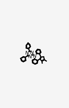 CC1=C(C)C2=C(C1)c1ccccc1N(c1nc(-c3ccccc3)nc(-c3ccccc3)n1)c1ccccc12